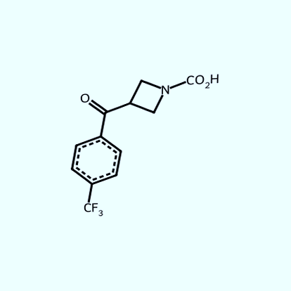 O=C(c1ccc(C(F)(F)F)cc1)C1CN(C(=O)O)C1